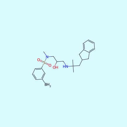 Bc1cccc(S(=O)(=O)N(C)CC(O)CNC(C)(C)CC2Cc3ccccc3C2)c1